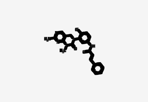 CN1C(=O)N(c2cc(NC(=O)C=Cc3ccccc3)ccc2Cl)Cc2cnc(N)nc21